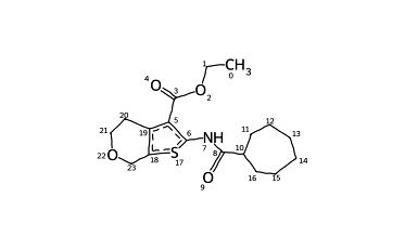 CCOC(=O)c1c(NC(=O)C2CCCCCC2)sc2c1CCOC2